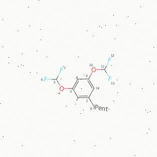 CCC[C](C)c1cc(OC(F)F)cc(OC(F)F)c1